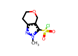 Cn1nc2c(c1S(=O)(=O)Cl)COCC2